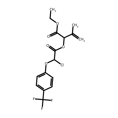 C=C(C)C(OC(=O)C(Cl)Oc1ccc(C(F)(F)F)cc1)C(=O)OCC